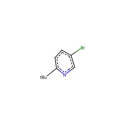 C[14C](C)(C)c1ccc(Br)cn1